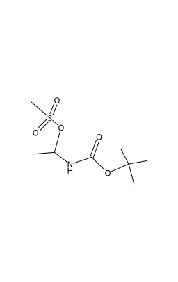 CC(NC(=O)OC(C)(C)C)OS(C)(=O)=O